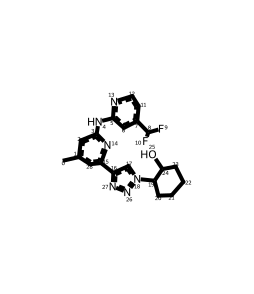 Cc1cc(Nc2cc(C(F)F)ccn2)nc(-c2cn(C3CCCCC3O)nn2)c1